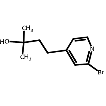 CC(C)(O)CCc1ccnc(Br)c1